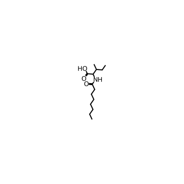 CCCCCCCC(=O)NC(C(=O)O)C(C)CC